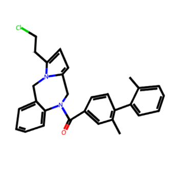 Cc1ccccc1-c1ccc(C(=O)N2Cc3ccc([CH]CCl)n3Cc3ccccc32)cc1C